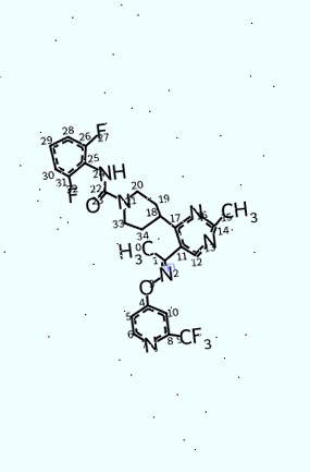 C/C(=N\Oc1ccnc(C(F)(F)F)c1)c1cnc(C)nc1C1CCN(C(=O)Nc2c(F)cccc2F)CC1